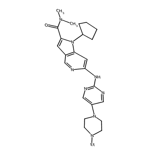 CCN1CCN(c2cnc(Nc3cc4c(cn3)cc(C(=O)N(C)C)n4C3CCCC3)nc2)CC1